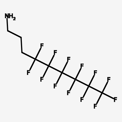 NCCCC(F)(F)C(F)(F)C(F)(F)C(F)(F)C(F)(F)C(F)(F)F